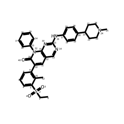 CCS(=O)(=O)c1cccc(-c2cc3cnc(Nc4ccc(C5CCN(C)CC5)cc4)nc3n(-c3ccccc3)c2=O)c1C